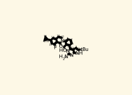 CC(C)(C)c1cc2c(-c3cccc(-n4ccc5cc(C6CC6)cc(F)c5c4=O)c3CO)nc(N)nc2[nH]1